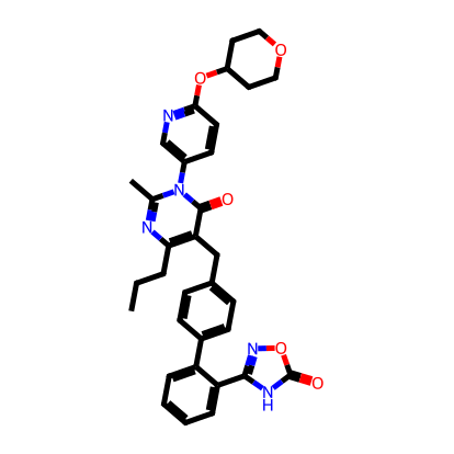 CCCc1nc(C)n(-c2ccc(OC3CCOCC3)nc2)c(=O)c1Cc1ccc(-c2ccccc2-c2noc(=O)[nH]2)cc1